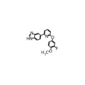 COc1ccc(Oc2cccc(-c3ccc4[nH]cnc4c3)n2)cc1F